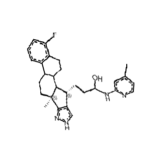 Cc1ccnc(NC(O)CC[C@@H]2c3c[nH]nc3[C@@]3(C)CCC4c5cccc(F)c5CCC4C23)c1